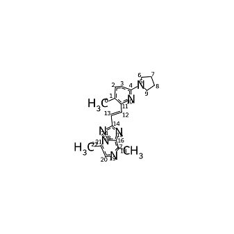 Cc1ccc(N2CCCC2)nc1C=Cc1nc2c(C)ncc(C)n2n1